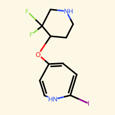 FC1(F)CNCCC1OC1=CC=C(I)NC=C1